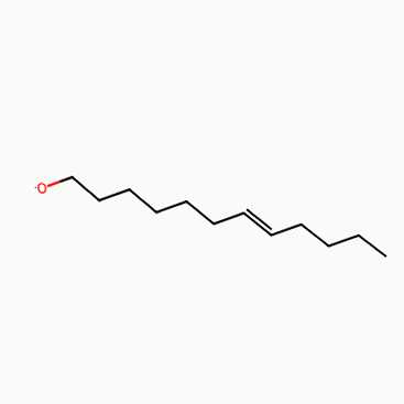 CCCC/C=C/CCCCCC[O]